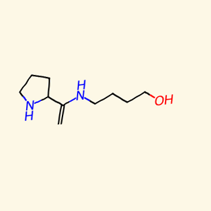 C=C(NCCCCO)C1CCCN1